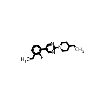 CCc1cccc(-c2cnc(N3CCC(CC)CC3)nc2)c1F